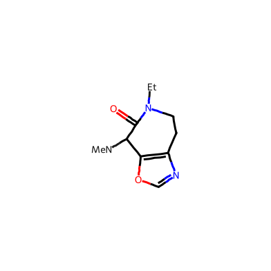 CCN1CCc2ncoc2C(NC)C1=O